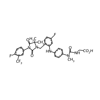 CN(C(=O)NCC(=O)O)c1ccc(Nc2cc(F)ccc2CN2C(=O)N(c3ccc(F)c(C(F)(F)F)c3)C(=O)C2(C)C)cc1